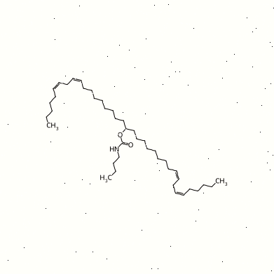 CCCCC/C=C\C/C=C\CCCCCCCCC(CCCCCCCC/C=C\C/C=C\CCCCC)OC(=O)NCCCC